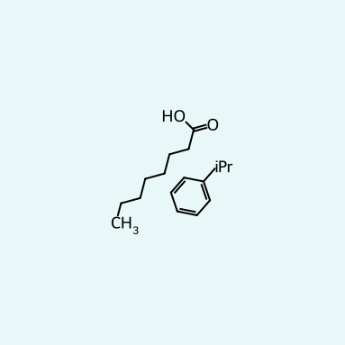 CC(C)c1ccccc1.CCCCCCCC(=O)O